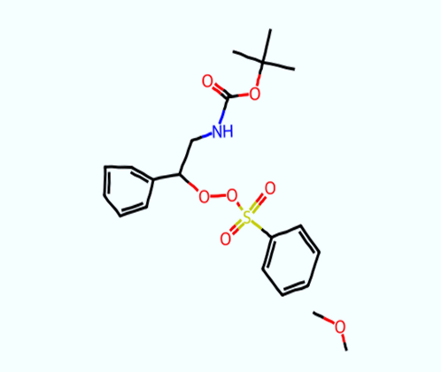 CC(C)(C)OC(=O)NCC(OOS(=O)(=O)c1ccccc1)c1ccccc1.COC